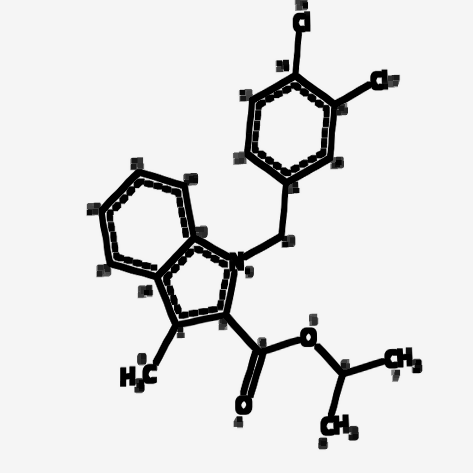 Cc1c(C(=O)OC(C)C)n(Cc2ccc(Cl)c(Cl)c2)c2ccccc12